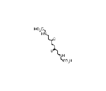 O=C(O)CNCCC(=O)CCC(=O)CCNCC(=O)O